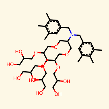 Cc1cc(CN(Cc2cc(C)c(C)c(C)c2)C(COCC(COCC(O)CO)OCC(O)CO)COCC(COCC(O)CO)OCC(O)CO)cc(C)c1C